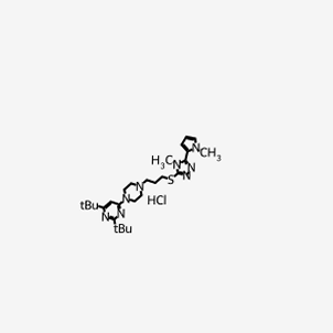 Cl.Cn1cccc1-c1nnc(SCCCN2CCN(c3cc(C(C)(C)C)nc(C(C)(C)C)n3)CC2)n1C